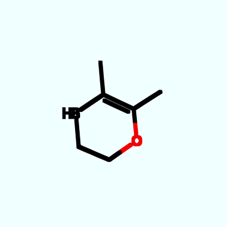 CC1=C(C)OCCB1